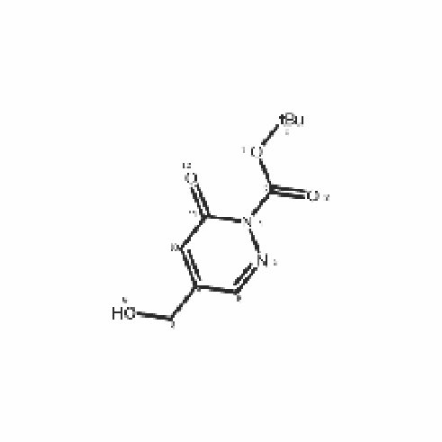 CC(C)(C)OC(=O)n1ncc(CO)cc1=O